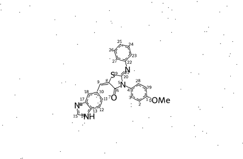 COc1ccc(N2C(=O)C(=Cc3ccc4[nH]cnc4c3)SC2=Nc2ccccc2)cc1